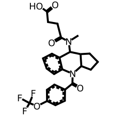 CN(C(=O)CCC(=O)O)C1c2ccccc2N(C(=O)c2ccc(OC(F)(F)F)cc2)C2CCCC12